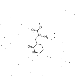 COC(=O)[C@@H](N)CC1CCCNC1=O